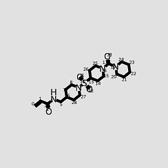 C=CC(=O)NCC1CCN(S(=O)(=O)C2CCN(C(=O)N3CCCCC3)CC2)CC1